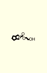 O=C(OCCO)N1CC2CCCC2C1